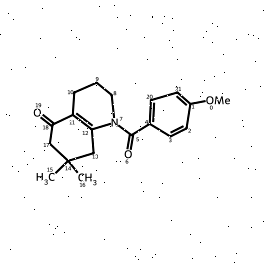 COc1ccc(C(=O)N2CCCC3=C2CC(C)(C)CC3=O)cc1